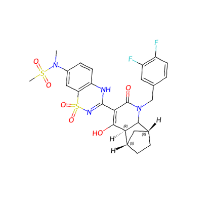 CN(c1ccc2c(c1)S(=O)(=O)N=C(C1=C(O)[C@H]3C([C@@H]4CC[C@H]3C4)N(Cc3ccc(F)c(F)c3)C1=O)N2)S(C)(=O)=O